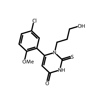 COc1ccc(Cl)cc1-c1cc(=O)[nH]c(=S)n1CCCO